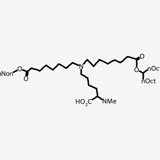 CCCCCCCCCOC(=O)CCCCCCCN(CCCCCCCC(=O)OC(CCCCCCCC)CCCCCCCC)CCCCC(NC)C(=O)O